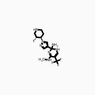 CNC1=NC(N)(c2cnn([C@@H]3CCNC[C@H]3F)c2)NC=C1C(F)(F)F